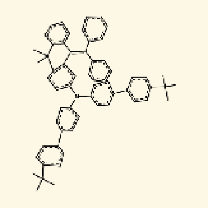 CC(C)(C)c1ccc(-c2ccc(N(c3ccc(-c4ccc(C(C)(C)C)cc4)cc3)c3ccc4c(c3)C(=C(c3ccccc3)c3ccccc3)c3ccccc3C4(C)C)cc2)cc1